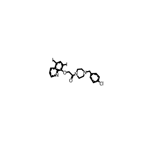 O=C(COc1c(I)cc(I)c2cccnc12)N1CCN(Cc2ccc(Cl)cc2)CC1